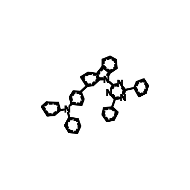 c1ccc(-c2nc(-c3ccccc3)nc(-n3c4ccccc4c4ccc(-c5ccc(N(c6ccccc6)c6ccccc6)cc5)cc43)n2)cc1